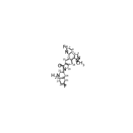 Cn1ncc(-c2ccc(F)nc2)c1-c1ccc2c(c1)CN([C@H](CN)Cc1cccc(F)c1)C2=O